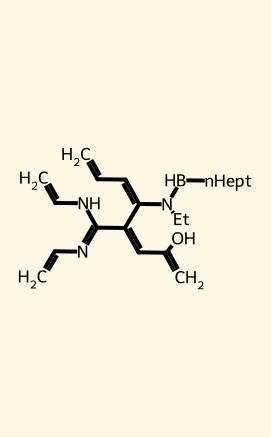 C=C\C=C(C(=C\C(=C)O)/C(=N/C=C)NC=C)\N(BCCCCCCC)CC